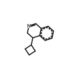 C1=NCC(C2CCC2)c2ccccc21